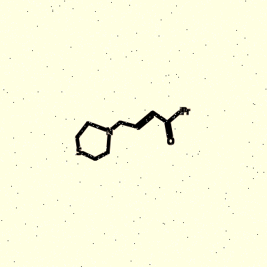 CC(C)C(=O)/C=C/CN1CCSCC1